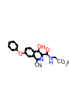 N#Cc1nc(C(=O)NCC(=O)O)c(O)c2ccc(Oc3ccccc3)cc12